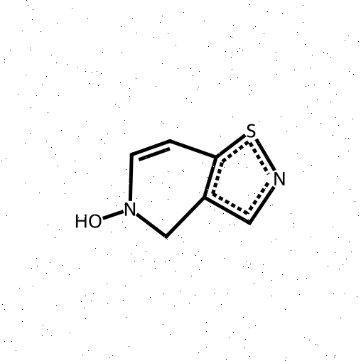 ON1C=Cc2sncc2C1